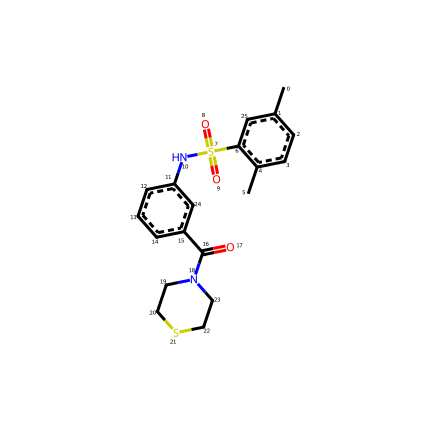 Cc1ccc(C)c(S(=O)(=O)Nc2cccc(C(=O)N3CCSCC3)c2)c1